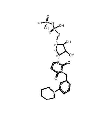 O=c1ccn([C@@H]2O[C@H](COP(=O)(O)OP(=O)(O)O)C(O)C2O)c(=O)n1Cc1cc(N2CCCCC2)ccn1